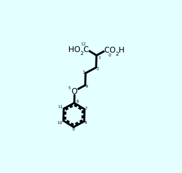 O=C(O)C(CCCOc1ccccc1)C(=O)O